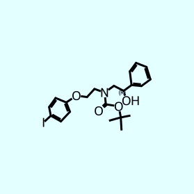 CC(C)(C)OC(=O)N(CCOc1ccc(I)cc1)C[C@H](O)c1ccccc1